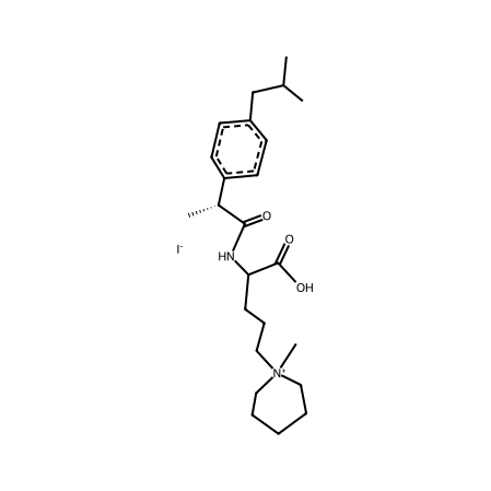 CC(C)Cc1ccc([C@@H](C)C(=O)NC(CCC[N+]2(C)CCCCC2)C(=O)O)cc1.[I-]